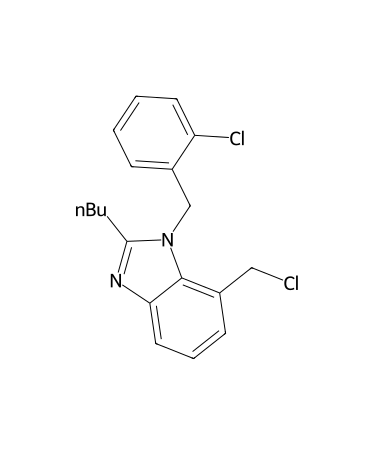 CCCCc1nc2cccc(CCl)c2n1Cc1ccccc1Cl